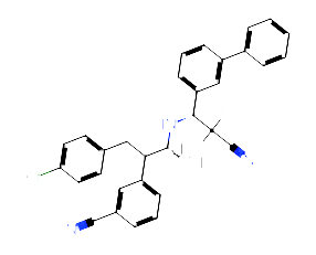 C[C@H](N[C@@H](c1cccc(-c2ccccc2)c1)C(C)(C)C#N)C(Cc1ccc(Cl)cc1)c1cccc(C#N)c1